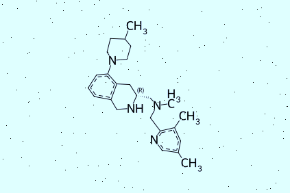 Cc1cnc(CN(C)C[C@H]2Cc3c(cccc3N3CCC(C)CC3)CN2)c(C)c1